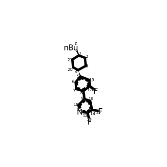 CCCC[C@H]1CC[C@H](c2ccc(-c3cnc(F)c(F)c3)c(F)c2)CC1